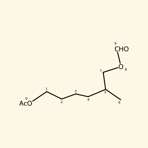 CC(=O)OCCCCC(C)COC=O